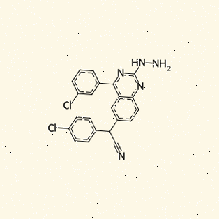 N#CC(c1ccc(Cl)cc1)c1ccc2nc(NN)nc(-c3cccc(Cl)c3)c2c1